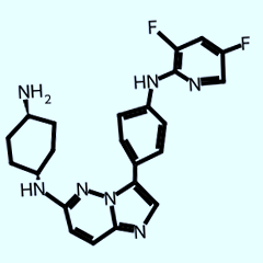 N[C@H]1CC[C@H](Nc2ccc3ncc(-c4ccc(Nc5ncc(F)cc5F)cc4)n3n2)CC1